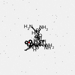 CCCCc1nc2c(NNC(=O)C(CCCNC(=N)N)NC(=O)C(CC(C)C)NC(=O)C3CCCN3C(=O)C(CCCCN)NC(=O)CCCCN)nc3ccccc3c2n1Cc1ccccc1